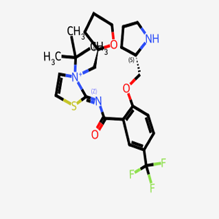 CC(C)(C)[N+]1(C[C@H]2CCCO2)C=CS/C1=N\C(=O)c1cc(C(F)(F)F)ccc1OC[C@@H]1CCCN1